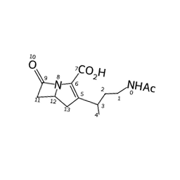 CC(=O)NCCC(C)C1=C(C(=O)O)N2C(=O)CC2C1